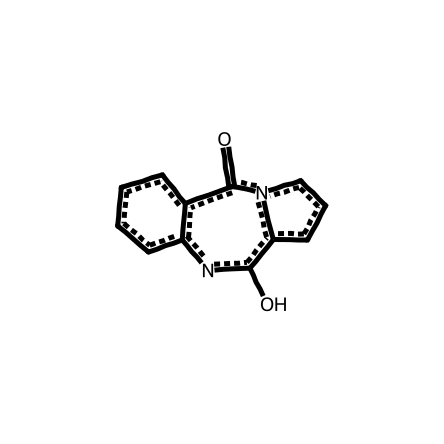 O=c1c2ccccc2nc(O)c2cccn12